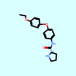 CCOc1ccc(Oc2ccc(NC(=O)[C@@H]3CCCN3)cc2)cc1